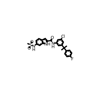 CC(C)(c1ccc(F)cc1)c1cc(Cl)cc(NC(=O)c2cc3ccc(NS(C)(=O)=O)cc3[nH]2)c1